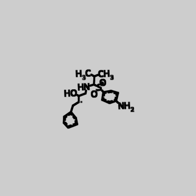 CC(C)C(NCC(O)[CH]Cc1ccccc1)S(=O)(=O)c1ccc(N)cc1